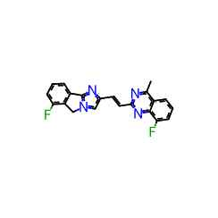 Cc1nc(C=Cc2cn3c(n2)-c2cccc(F)c2C3)nc2c(F)cccc12